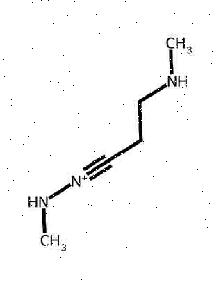 CNCCC#[N+]NC